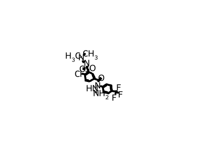 CN(C)C=NS(=O)(=O)c1cc(C(=O)N(NN)c2ccc(C(F)(F)F)cc2)ccc1Cl